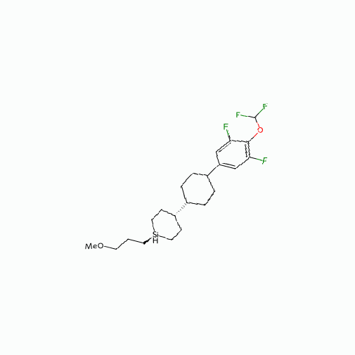 COCCC[Si@H]1CC[C@H](C2CCC(c3cc(F)c(OC(F)F)c(F)c3)CC2)CC1